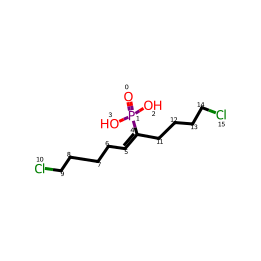 O=P(O)(O)/C(=C\CCCCCl)CCCCCl